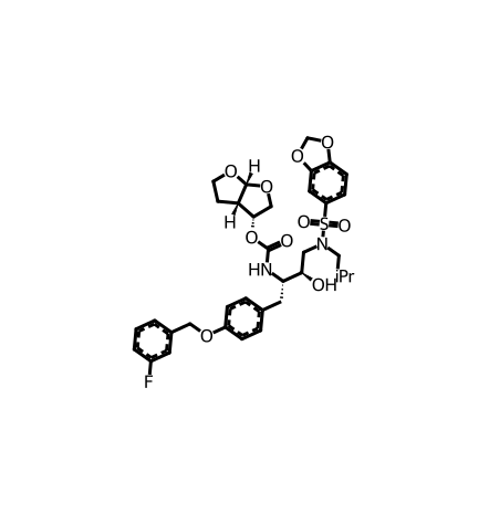 CC(C)CN(C[C@@H](O)[C@H](Cc1ccc(OCc2cccc(F)c2)cc1)NC(=O)O[C@H]1CO[C@H]2OCC[C@H]21)S(=O)(=O)c1ccc2c(c1)OCO2